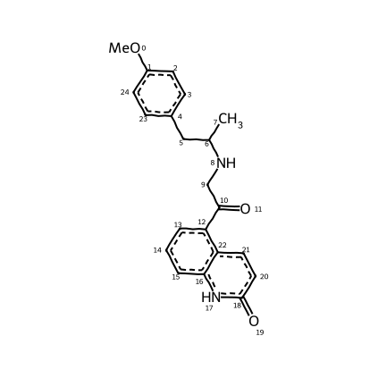 COc1ccc(CC(C)NCC(=O)c2cccc3[nH]c(=O)ccc23)cc1